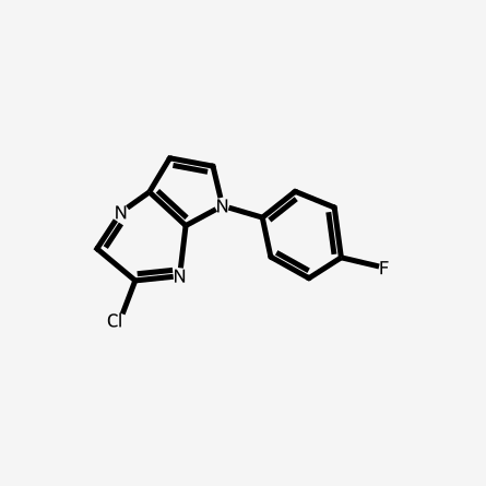 Fc1ccc(-n2ccc3ncc(Cl)nc32)cc1